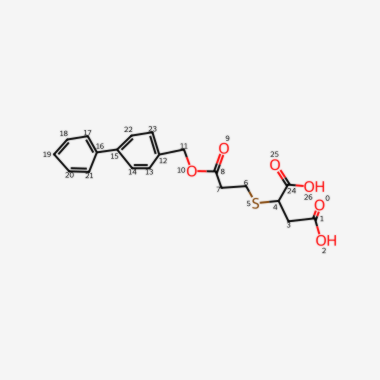 O=C(O)CC(SCCC(=O)OCc1ccc(-c2ccccc2)cc1)C(=O)O